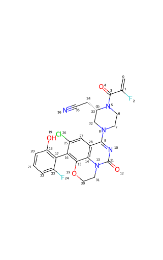 C=C(F)C(=O)N1CCN(c2nc(=O)n3c4c(c(-c5c(O)cccc5F)c(Cl)cc24)OCC3)C[C@@H]1CC#N